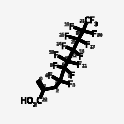 C=C(CC(F)(F)C(F)(F)C(F)(F)C(F)(F)C(F)(F)C(F)(F)C(F)(F)F)C(=O)O